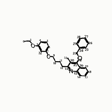 CCOc1cccc(OCCCCc2nc3ccccc3c(OCc3ccccc3)c2C)c1